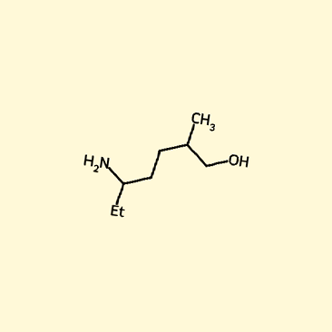 CCC(N)CCC(C)CO